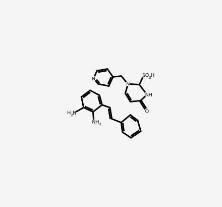 Nc1cccc(C=Cc2ccccc2)c1N.O=C1C=CN(Cc2ccncc2)C(S(=O)(=O)O)N1